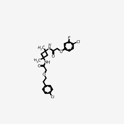 CC1(NC(=O)COCCc2ccc(Cl)cc2)CC(C)(NC(=O)COc2ccc(Cl)c(F)c2)C1